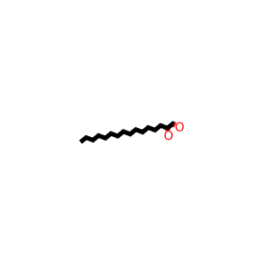 CCCCCCCCCCCCCCC(=O)C=O